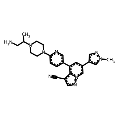 CC(CN)N1CCN(c2ccc(-c3cc(-c4cnn(C)c4)cn4ncc(C#N)c34)cn2)CC1